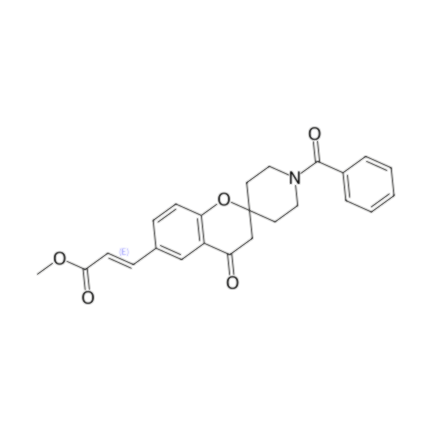 COC(=O)/C=C/c1ccc2c(c1)C(=O)CC1(CCN(C(=O)c3ccccc3)CC1)O2